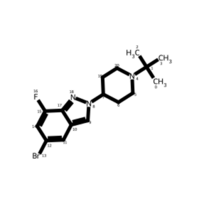 CC(C)(C)N1CCC(n2cc3cc(Br)cc(F)c3n2)CC1